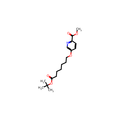 COC(=O)c1ccc(OCCCCCCC(=O)OC(C)(C)C)cn1